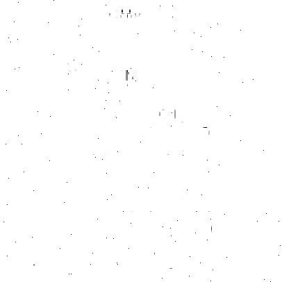 COC(=O)NOC1(C)C(=O)Oc2ccccc2C1=O